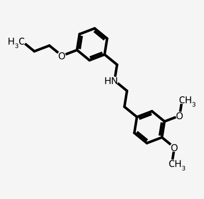 CCCOc1cccc(CNCCc2ccc(OC)c(OC)c2)c1